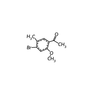 COc1cc(Br)c(C)cc1C(C)=O